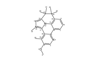 COc1cnc2c3cccc4c3n3c(c[n+](C)c3c2c1C)C(C)(C)C4(C)C